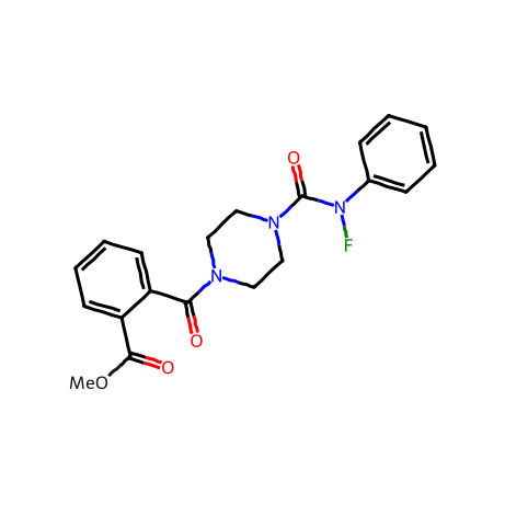 COC(=O)c1ccccc1C(=O)N1CCN(C(=O)N(F)c2ccccc2)CC1